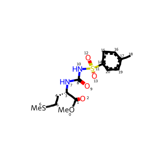 COC(=O)[C@H](CCSC)NC(=O)NS(=O)(=O)c1ccc(C)cc1